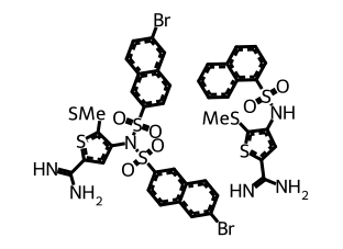 CSc1sc(C(=N)N)cc1N(S(=O)(=O)c1ccc2cc(Br)ccc2c1)S(=O)(=O)c1ccc2cc(Br)ccc2c1.CSc1sc(C(=N)N)cc1NS(=O)(=O)c1cccc2ccccc12